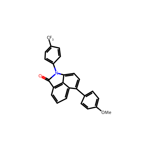 COc1ccc(-c2ccc3c4c(cccc24)C(=O)N3c2ccc(C(F)(F)F)cc2)cc1